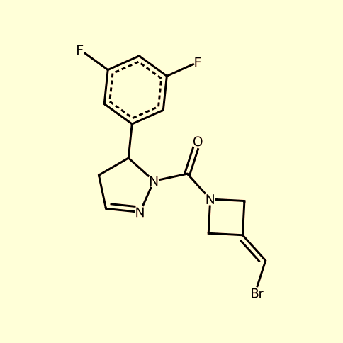 O=C(N1CC(=CBr)C1)N1N=CCC1c1cc(F)cc(F)c1